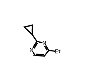 CCc1c[c]nc(C2CC2)n1